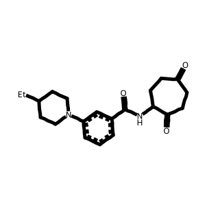 CCC1CCN(c2cccc(C(=O)NC3CCC(=O)CCC3=O)c2)CC1